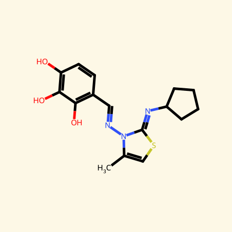 Cc1cs/c(=N\C2CCCC2)n1/N=C/c1ccc(O)c(O)c1O